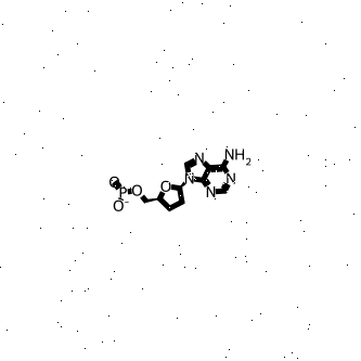 Nc1ncnc2c1ncn2[C@H]1CC[C@@H](CO[P+](=O)[O-])O1